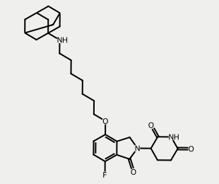 O=C1CCC(N2Cc3c(OCCCCCCCNC45CC6CC(CC(C6)C4)C5)ccc(F)c3C2=O)C(=O)N1